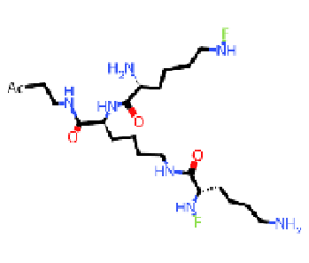 CC(=O)CCNC(=O)[C@H](CCCCNC(=O)[C@H](CCCCN)NF)NC(=O)[C@H](N)CCCCNF